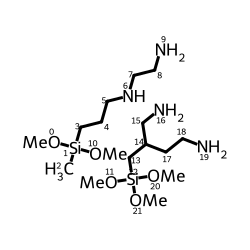 CO[Si](C)(CCCNCCN)OC.CO[Si](CC(CN)CCN)(OC)OC